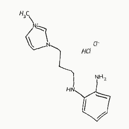 C[n+]1ccn(CCCNc2ccccc2N)c1.Cl.[Cl-]